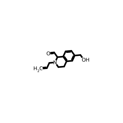 C=CCN1CCc2cc(CO)ccc2C1C=O